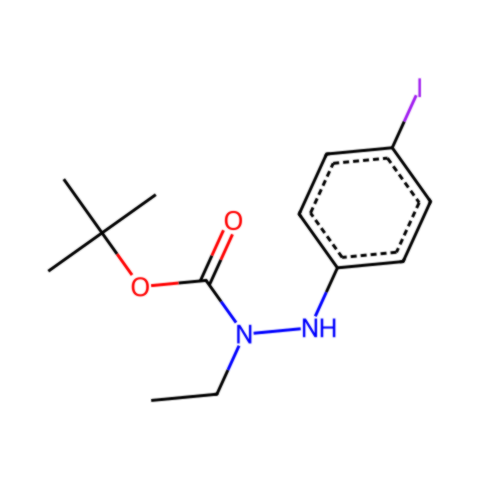 CCN(Nc1ccc(I)cc1)C(=O)OC(C)(C)C